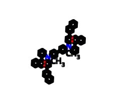 Cc1cc(-c2ccc(N(c3ccc(-c4ccc5ccccc5c4)cc3)c3ccccc3-c3cccc4ccccc34)c(C)c2)ccc1N(c1ccc(-c2ccc3ccccc3c2)cc1)c1ccccc1-c1cccc2ccccc12